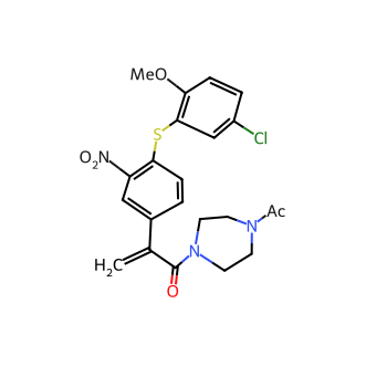 C=C(C(=O)N1CCN(C(C)=O)CC1)c1ccc(Sc2cc(Cl)ccc2OC)c([N+](=O)[O-])c1